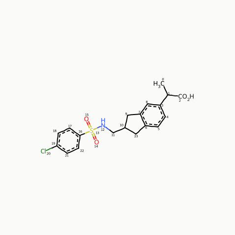 CC(C(=O)O)c1ccc2c(c1)CC(CNS(=O)(=O)c1ccc(Cl)cc1)C2